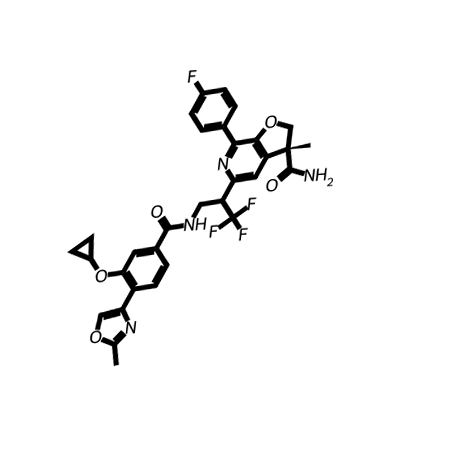 Cc1nc(-c2ccc(C(=O)NCC(c3cc4c(c(-c5ccc(F)cc5)n3)OC[C@]4(C)C(N)=O)C(F)(F)F)cc2OC2CC2)co1